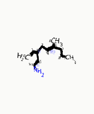 C=CC(=C/C=C(\C)CCC)/C=C/N